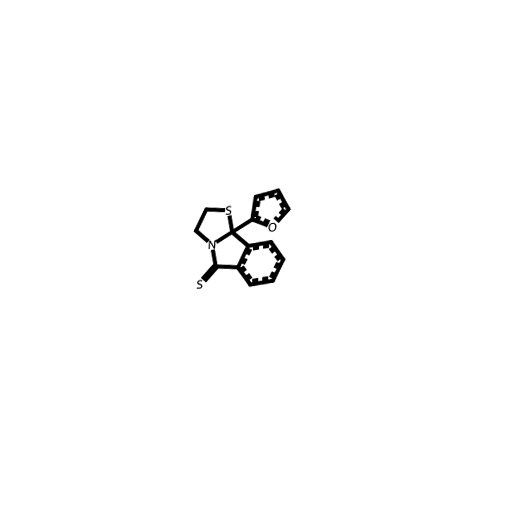 S=C1c2ccccc2C2(c3ccco3)SCCN12